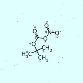 CC(C)(C)OC(=O)O[N+](=O)[O-]